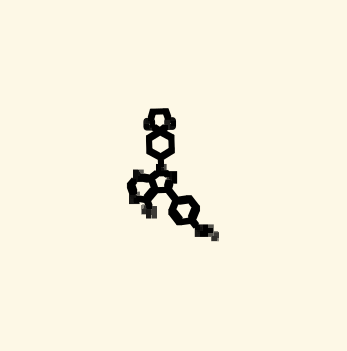 [2H]c1ncnc2c1c(-c1ccc(N)cc1)nn2C1CCC2(CC1)OCCO2